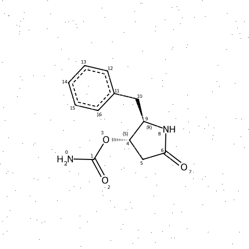 NC(=O)O[C@H]1CC(=O)N[C@@H]1Cc1ccccc1